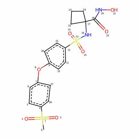 CS(=O)(=O)c1ccc(Oc2ccc(S(=O)(=O)NC3(C(=O)NO)CCC3)cc2)cc1